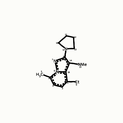 CCc1ccc(C)n2nc(N3CCCC3)c(NC)c12